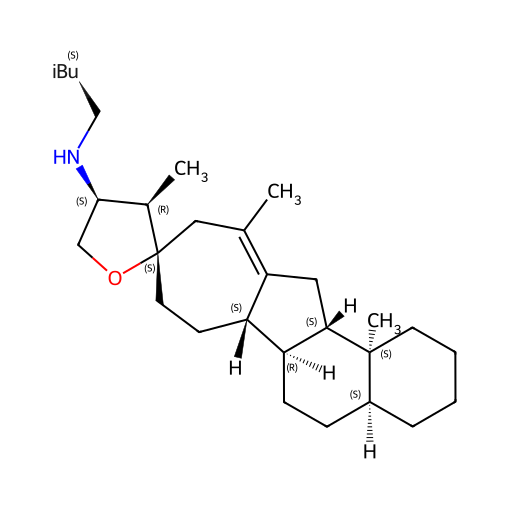 CC[C@H](C)CN[C@@H]1CO[C@]2(CC[C@@H]3C(=C(C)C2)C[C@H]2[C@H]3CC[C@@H]3CCCC[C@@]32C)[C@@H]1C